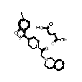 O=C(CN1CCc2ccccc2C1)N1CCC(c2noc3cc(F)ccc23)CC1.O=C(O)C=CC(=O)O